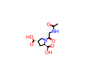 CC(=O)NCC(=O)N1C[C@@H](C(=O)O)C[C@@H]1C(=O)O